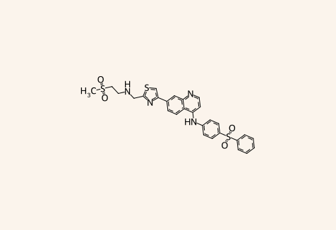 CS(=O)(=O)CCNCc1nc(-c2ccc3c(Nc4ccc(S(=O)(=O)c5ccccc5)cc4)ccnc3c2)cs1